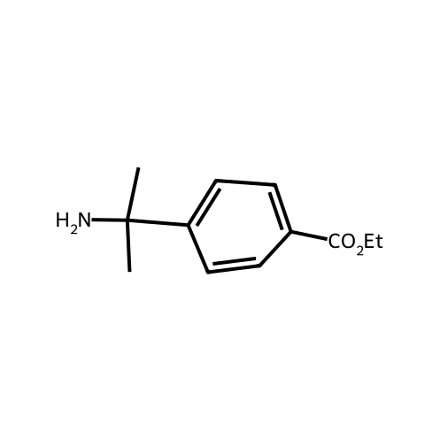 C[CH]OC(=O)c1ccc(C(C)(C)N)cc1